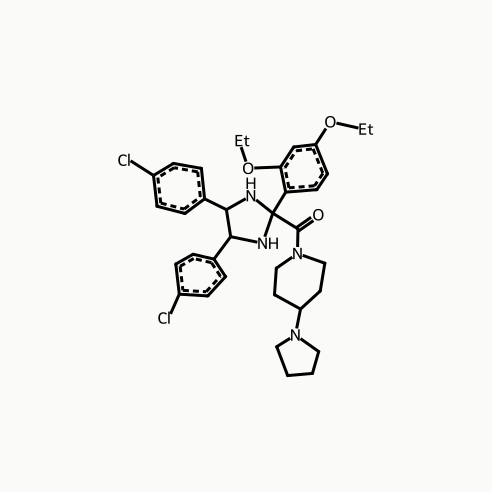 CCOc1ccc(C2(C(=O)N3CCC(N4CCCC4)CC3)NC(c3ccc(Cl)cc3)C(c3ccc(Cl)cc3)N2)c(OCC)c1